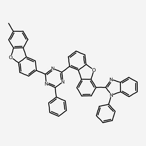 Cc1ccc2c(c1)oc1ccc(-c3nc(-c4ccccc4)nc(-c4cccc5oc6c(-c7nc8ccccc8n7-c7ccccc7)cccc6c45)n3)cc12